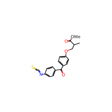 COC(=O)C(C)COc1ccc(C(=O)c2ccc(N=C=S)cc2)cc1